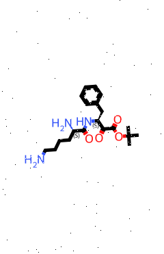 CC(C)(C)OC(=O)C(=O)[C@H](Cc1ccccc1)NC(=O)[C@@H](N)CCCCN